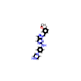 COc1cccc(Cn2ncc3cnc(Nc4ccc(N5CCNCC5)cc4)nc32)c1